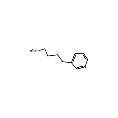 CCCCCCCC[CH]c1cccnc1